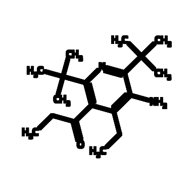 CCC(=O)c1c(C(C)(C)C)nc(C(C)(C)C)c(N)c1CC